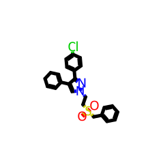 O=S(=O)(CCn1cc(C2=CCCC=C2)c(-c2ccc(Cl)cc2)n1)Cc1ccccc1